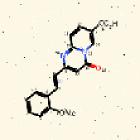 COc1ccccc1/C=C/c1cc(=O)n2cc(C(=O)O)ccc2n1